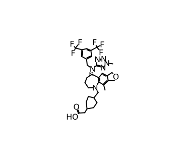 Cc1c2c(cc3c1N(CC1CCC(CC(=O)O)CC1)CCC[C@@H]3N(Cc1cc(C(F)(F)F)cc(C(F)(F)F)c1)c1nnn(C)n1)COC2